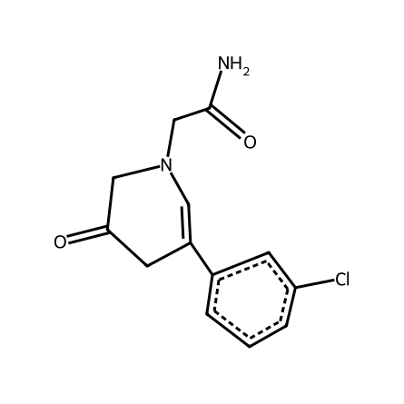 NC(=O)CN1C=C(c2cccc(Cl)c2)CC(=O)C1